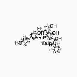 CCC(C)(C)c1ccc(O)cc1.CCCCCc1ccc(O)cc1.CCCCc1ccc(O)cc1.CCCc1ccc(O)cc1.Cc1cccc(C)c1O.Oc1ccccc1